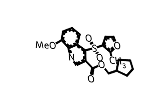 COc1cccc2c(S(=O)(=O)c3ccoc3C)c(C(=O)OCC3CCCC3)cnc12